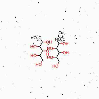 O=C(O)C(O)C(O)C(O)C(O)CO.O=C(O)C(O)C(O)C(O)C(O)CO.[Cu].[Cu]